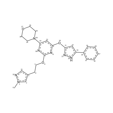 Cn1cc(CCOc2nc(Oc3cc(-c4ccccc4)[nH]n3)cc(N3CCOCC3)n2)cn1